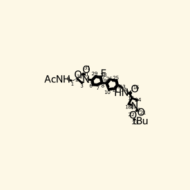 CC(=O)NC[C@H]1CN(c2ccc(-c3ccc(CNC(=O)C4CN(C(=O)OC(C)(C)C)C4)cc3)c(F)c2)C(=O)O1